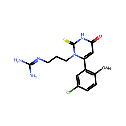 COc1ccc(Cl)cc1-c1cc(=O)[nH]c(=S)n1CCCN=C(N)N